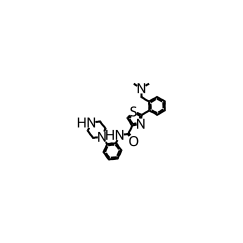 CN(C)Cc1ccccc1-c1nc(C(=O)Nc2ccccc2N2CCNCC2)cs1